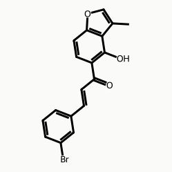 Cc1coc2ccc(C(=O)/C=C/c3cccc(Br)c3)c(O)c12